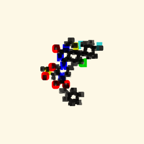 CS(=O)(=O)C[C@@H]1CN(c2nc(=O)n3c4c(c(-c5ccc(F)cc5F)c(Cl)cc24)SCC3)CCN1C(=O)OCc1ccccc1